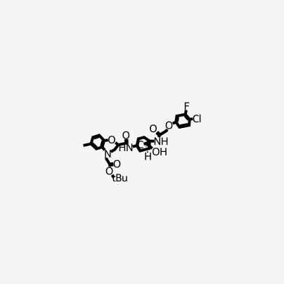 Cc1ccc2c(c1)N(CC(=O)OC(C)(C)C)CC(C(=O)NC13CCC(NC(=O)COc4ccc(Cl)c(F)c4)(CC1)[C@@H](O)C3)O2